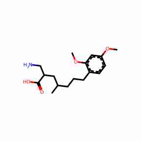 COc1ccc(CCCC(C)CC(CN)C(=O)O)c(OC)c1